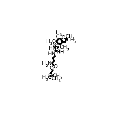 Cc1c(C)c(S(=O)(=O)NC(=N)NCCC[C@H](N)C(=O)OCC[Si](C)(C)C)c(C)c2c1OC(C)(C)C2